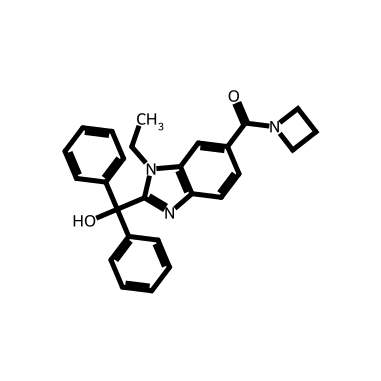 CCn1c(C(O)(c2ccccc2)c2ccccc2)nc2ccc(C(=O)N3CCC3)cc21